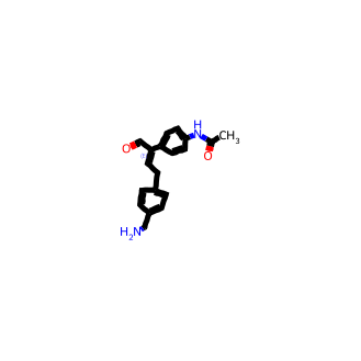 CC(=O)Nc1ccc(/C(C=O)=C\Cc2ccc(CN)cc2)cc1